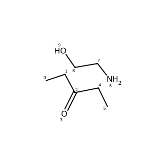 CCC(=O)CC.NCCO